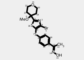 COC1(c2nc(Br)c(Sc3ccc(/C(C)=N/O)cc3)s2)CCOCC1